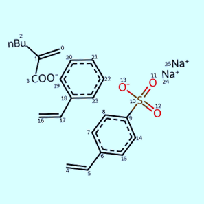 C=C(CCCC)C(=O)[O-].C=Cc1ccc(S(=O)(=O)[O-])cc1.C=Cc1ccccc1.[Na+].[Na+]